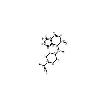 CC(=O)N1CCC(N(C)C2c3cc[nH]c3N=CN2C)CC1